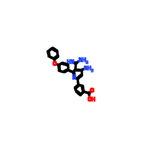 N=C(N)c1c(N)cc(-c2cccc(C(=O)O)c2)nc1-c1ccc(Oc2ccccc2)cc1